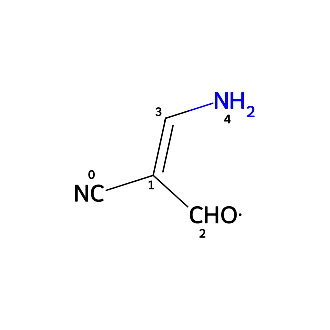 N#CC([C]=O)=CN